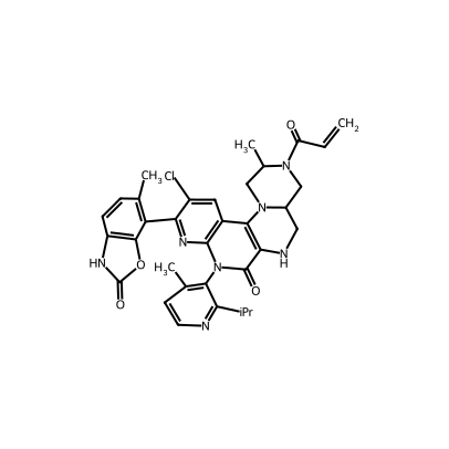 C=CC(=O)N1CC2CNc3c(c4cc(Cl)c(-c5c(C)ccc6[nH]c(=O)oc56)nc4n(-c4c(C)ccnc4C(C)C)c3=O)N2CC1C